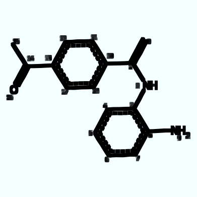 C=C(Nc1ccccc1N)c1ccc(C(C)=O)cc1